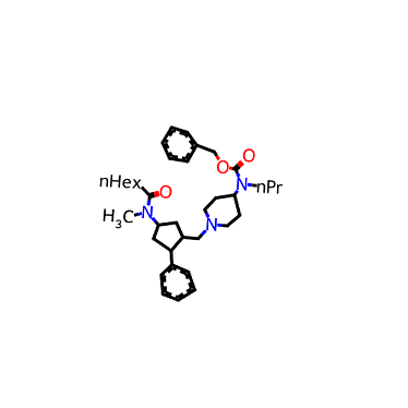 CCCCCCC(=O)N(C)C1CC(CN2CCC(N(CCC)C(=O)OCc3ccccc3)CC2)C(c2ccccc2)C1